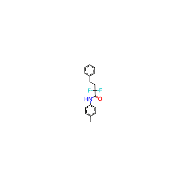 Cc1ccc(NC(=O)C(F)(F)CCc2ccccc2)cc1